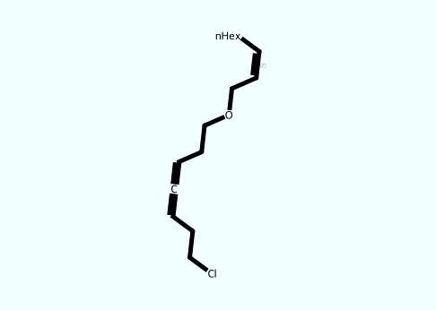 CCCCCC/C=C\COCCC=C=CCCCl